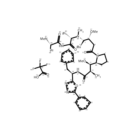 CC[C@H](C)[C@@H]([C@@H](CC(=O)N1CCC[C@H]1[C@H](OC)[C@@H](C)C(=O)N[C@H](Cc1ccccc1)c1nnc(-c2ccccc2)o1)OC)N(C)[C@H](C(=O)NC(=O)[C@@H](NC)C(C)C)C(C)C.O=C(O)C(F)(F)F